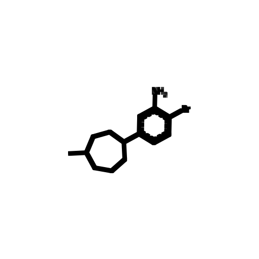 CC1CCCC(c2ccc(Br)c(N)c2)CC1